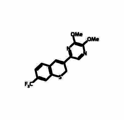 COc1ncc(C2=Cc3ccc(C(F)(F)F)cc3SC2)nc1OC